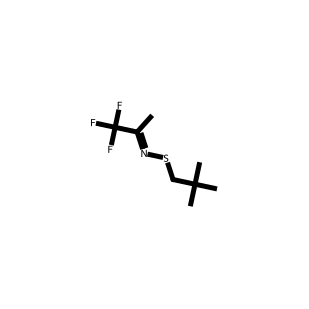 C/C(=N\SCC(C)(C)C)C(F)(F)F